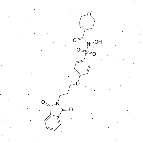 O=C1c2ccccc2C(=O)N1CCCOc1ccc(S(=O)(=O)N(O)C(=O)C2CCOCC2)cc1